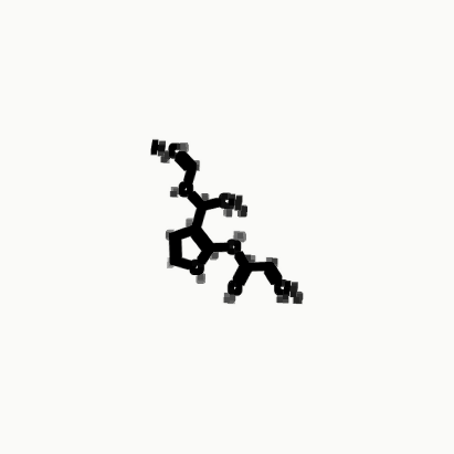 C=COC(C)c1ccoc1OC(=O)C=C